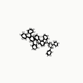 c1ccc(-c2nc(-c3ccccc3)nc(-n3c4ccccc4c4c5c6ccccc6n(-c6ccccc6-c6ccc(-c7ccccc7)c(-c7ccccc7)c6)c5ccc43)n2)cc1